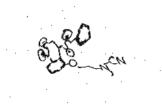 CN(CC#N)CCCOc1cccc2c1C(S(=O)(=O)c1ccccc1)CS2(=O)=O